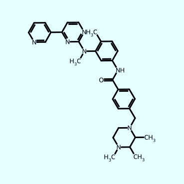 Cc1ccc(NC(=O)c2ccc(CN3CCN(C)C(C)C3C)cc2)cc1N(C)c1nccc(-c2cccnc2)n1